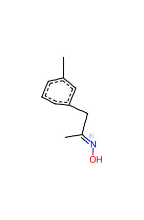 C/C(Cc1cccc(C)c1)=N\O